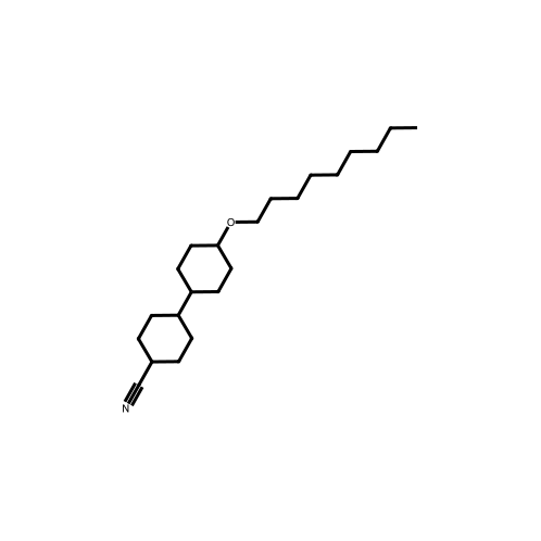 CCCCCCCCCOC1CCC(C2CCC(C#N)CC2)CC1